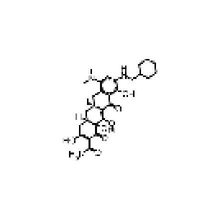 CN(C)c1cc(NCC2CCCCC2)c(O)c2c1C[C@H]1C[C@H]3CC(O)=C(C(N)=O)C(=O)[C@@]3(O)C(O)=C1C2=O